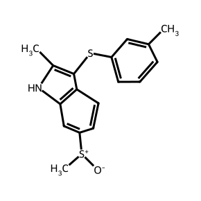 Cc1cccc(Sc2c(C)[nH]c3cc([S+](C)[O-])ccc23)c1